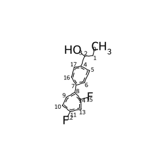 CCC(O)c1ccc(-c2ccc(F)cc2F)cc1